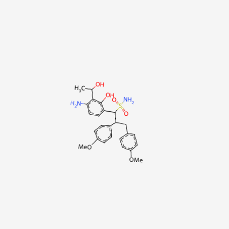 COc1ccc(CC(c2ccc(OC)cc2)C(c2ccc(N)c(C(C)O)c2O)S(N)(=O)=O)cc1